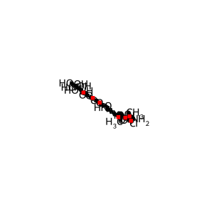 COc1cc(N)c(Cl)cc1C(=O)N[C@@H]1CCN(CCCCCC(=O)NCCOCCOCCOCCC(=O)NC[C@H](O)[C@@H](O)[C@H](O)[C@H](O)CO)C[C@@H]1OC